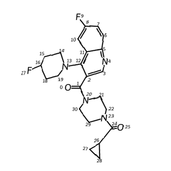 O=C(c1cnc2ccc(F)cc2c1N1CCC(F)CC1)N1CCN(C(=O)C2CC2)CC1